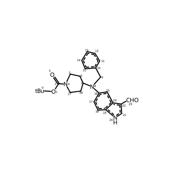 CC(C)(C)OC(=O)N1CCC(N(Cc2ccccc2)c2ccc3[nH]cc(C=O)c3c2)CC1